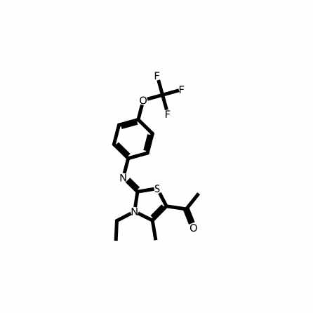 CCn1c(C)c(C(C)=O)s/c1=N\c1ccc(OC(F)(F)F)cc1